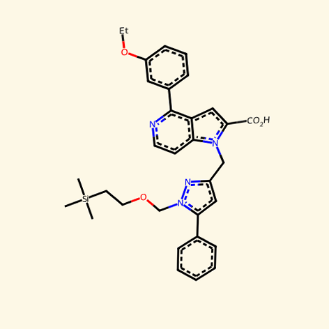 CCOc1cccc(-c2nccc3c2cc(C(=O)O)n3Cc2cc(-c3ccccc3)n(COCC[Si](C)(C)C)n2)c1